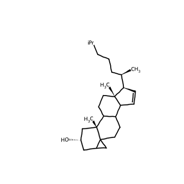 CC(C)CCC[C@@H](C)[C@H]1C=CC2C3CCC45CC4C[C@H](O)C[C@]5(C)C3CC[C@@]21C